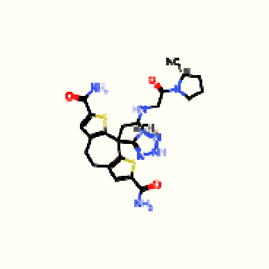 C[C@@H](CC1(c2nn[nH]n2)c2sc(C(N)=O)cc2CCc2cc(C(N)=O)sc21)NCC(=O)N1CCC[C@H]1C#N